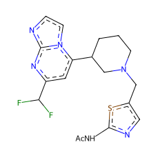 CC(=O)Nc1ncc(CN2CCCC(c3cc(C(F)F)nc4nccn34)C2)s1